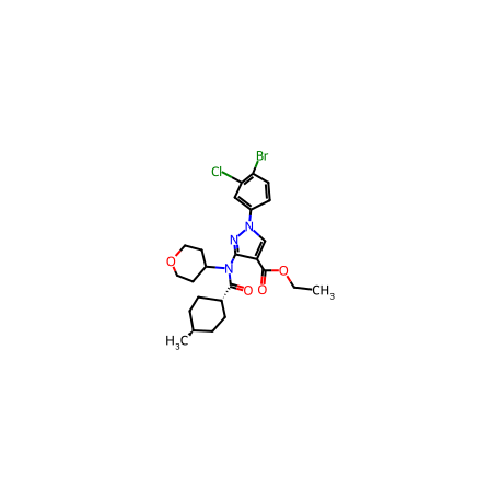 CCOC(=O)c1cn(-c2ccc(Br)c(Cl)c2)nc1N(C(=O)[C@H]1CC[C@H](C)CC1)C1CCOCC1